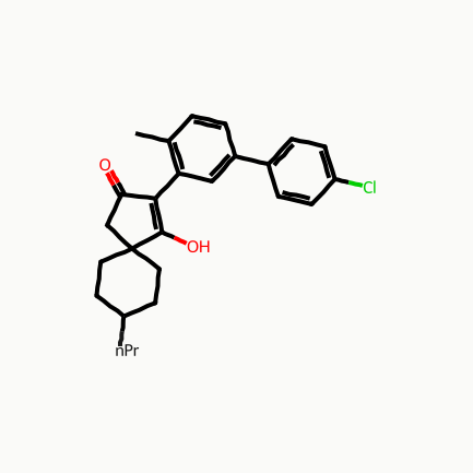 CCCC1CCC2(CC1)CC(=O)C(c1cc(-c3ccc(Cl)cc3)ccc1C)=C2O